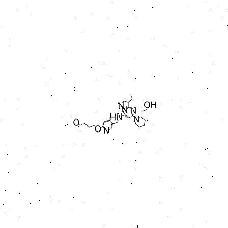 CCc1cnn2c(NCc3ccc(OCCCC=O)nc3)cc(N3CCCC[C@H]3CCO)nc12